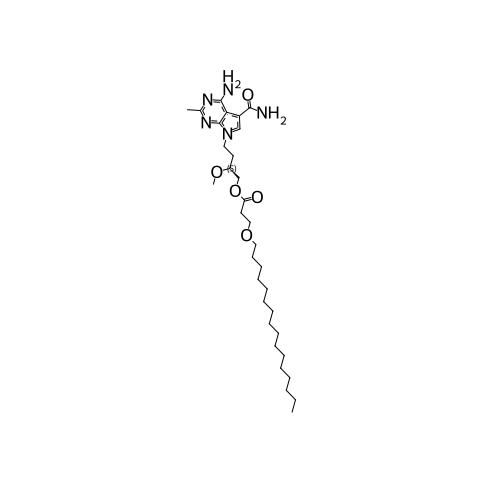 CCCCCCCCCCCCCCCCOCCC(=O)OC[C@H](CCn1cc(C(N)=O)c2c(N)nc(C)nc21)OC